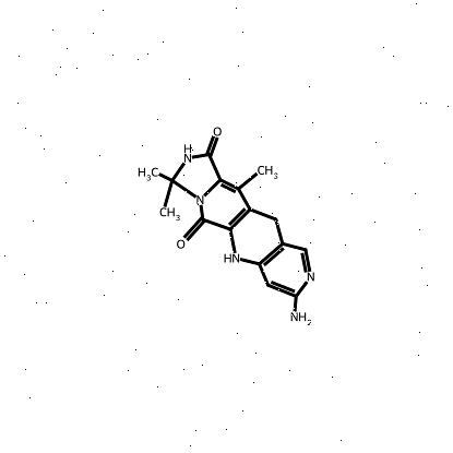 Cc1c2c(c(=O)n3c1C(=O)NC3(C)C)Nc1cc(N)ncc1C2